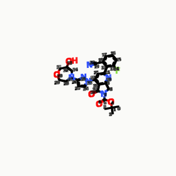 CC(C)(C)OC(=O)N1Cc2nc(-c3c(F)cccc3C#N)cc(-n3ccc(N4CCOCC(O)C4)n3)c2C1=O